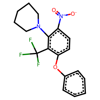 O=[N+]([O-])c1ccc(Oc2ccccc2)c(C(F)(F)F)c1N1CCCCC1